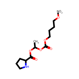 CC(OC(=O)OCCCCO[N+](=O)[O-])OC(=O)C1CCCN1